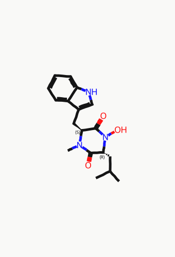 CC(C)C[C@@H]1C(=O)N(C)[C@@H](Cc2c[nH]c3ccccc23)C(=O)N1O